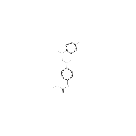 CCC(CC(C)c1ccc(NC(=O)OC(C)(C)C)cc1)c1ccc(S(=O)(=O)O)cc1